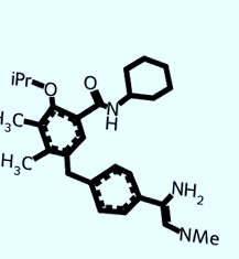 CN/C=C(\N)c1ccc(Cc2cc(C(=O)NC3CCCCC3)c(OC(C)C)c(C)c2C)cc1